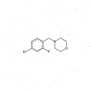 CCc1ccc(CN2CCOCC2)c(F)c1